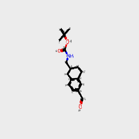 CC(C)(C)OC(=O)NCC1CCc2cc(C=O)ccc2C1